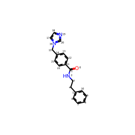 O=C(NCCc1ccccc1)c1ccc(Cn2ccnc2)cc1